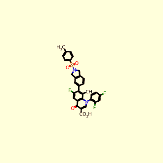 Cc1ccc(S(=O)(=O)N2Cc3ccc(-c4c(F)cc5c(=O)c(C(=O)O)cn(-c6ccc(F)cc6F)c5c4C)cc3C2)cc1